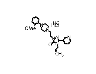 C=CCn1c(-c2cccnc2)nn(CCN2CCN(c3ccccc3OC)CC2)c1=O.Cl.Cl